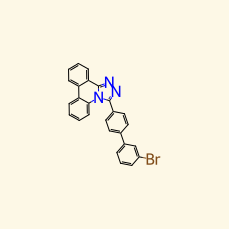 Brc1cccc(-c2ccc(-c3nnc4c5ccccc5c5ccccc5n34)cc2)c1